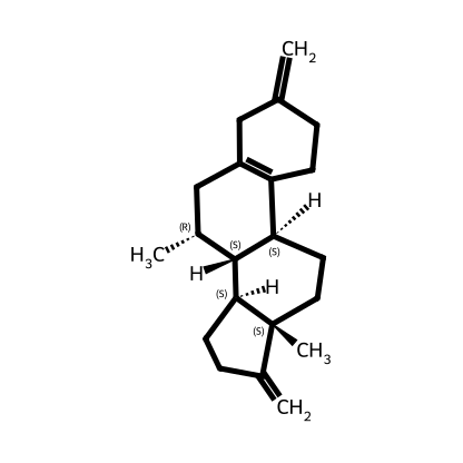 C=C1CCC2=C(C1)C[C@@H](C)[C@@H]1[C@@H]2CC[C@]2(C)C(=C)CC[C@@H]12